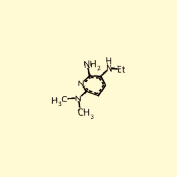 CCNc1ccc(N(C)C)nc1N